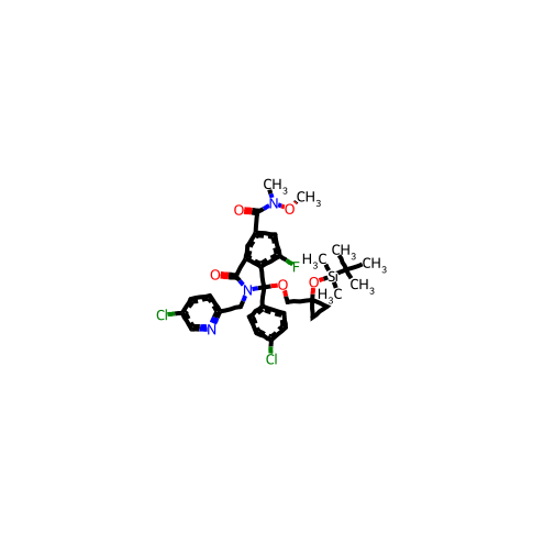 CON(C)C(=O)c1cc(F)c2c(c1)C(=O)N(Cc1ccc(Cl)cn1)C2(OCC1(O[Si](C)(C)C(C)(C)C)CC1)c1ccc(Cl)cc1